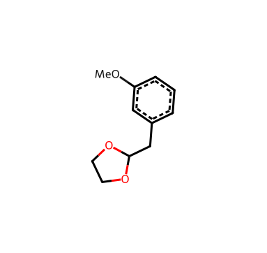 COc1cccc(CC2OCCO2)c1